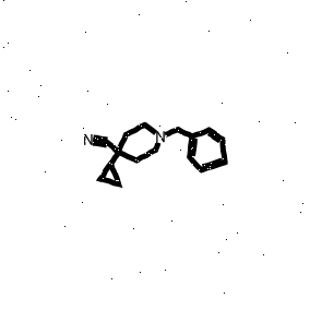 N#CC1(C2CC2)CCN(Cc2ccccc2)CC1